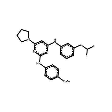 COc1ccc(Nc2nc(Nc3cccc(OC(F)F)c3)cc(N3CCCC3)n2)cc1